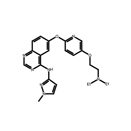 CCN(CC)CCOc1ccc(Oc2ccc3ncnc(Nc4ccn(C)n4)c3c2)nc1